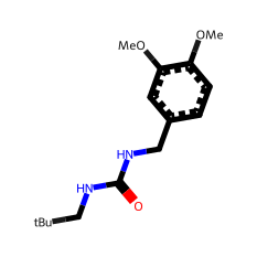 COc1ccc(CNC(=O)NCC(C)(C)C)cc1OC